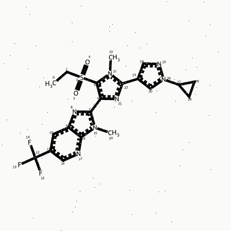 CCS(=O)(=O)c1c(-c2nc3cc(C(F)(F)F)cnc3n2C)nc(-c2cnn(C3CC3)c2)n1C